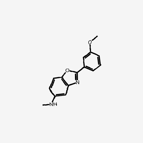 CNc1ccc2oc(-c3cccc(OC)c3)nc2c1